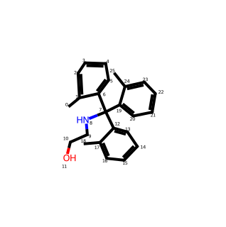 Cc1ccccc1C(NCCO)(c1ccccc1C)c1ccccc1C